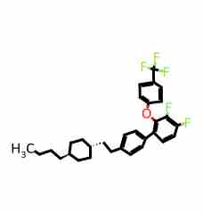 CCCC[C@H]1CC[C@H](CCc2ccc(-c3ccc(F)c(F)c3Oc3ccc(C(F)(F)F)cc3)cc2)CC1